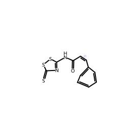 O=C(/C=C\c1ccccc1)Nc1nc(=S)ss1